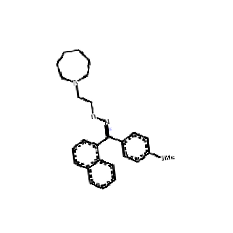 CSc1ccc(/C(=N/OCCN2CCCCCC2)c2cccc3ccccc23)cc1